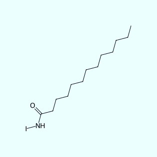 CCCCCCCCCCCCC(=O)NI